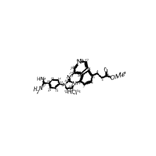 COC(=O)CCc1ccc(N2CCN(c3ccc(C(=N)N)cc3)C2=Nc2cccnc2)cc1.Cl